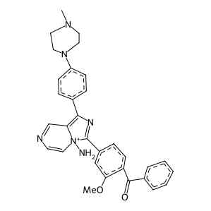 COc1cc(C2=NC(c3ccc(N4CCN(C)CC4)cc3)=C3C=NC=C[N+]23N)ccc1C(=O)c1ccccc1